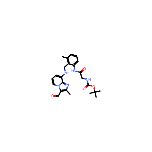 Cc1cccc(NC(=O)CNC(=O)OC(C)(C)C)c1CNc1cccn2c(C=O)c(C)nc12